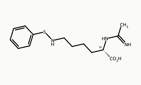 CC(=N)N[C@@H](CCCCNSc1ccccc1)C(=O)O